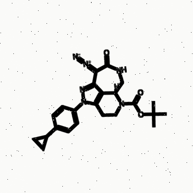 CC(C)(C)OC(=O)N1CCc2c3c(nn2-c2ccc(C4CC4)cc2)C(=[N+]=[N-])C(=O)NC[C@@H]31